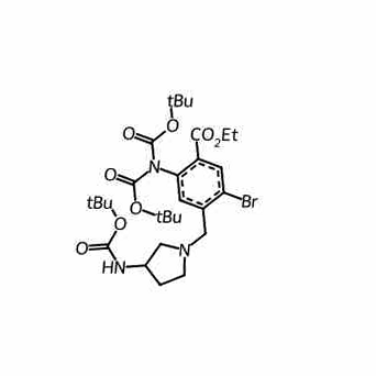 CCOC(=O)c1cc(Br)c(CN2CCC(NC(=O)OC(C)(C)C)C2)cc1N(C(=O)OC(C)(C)C)C(=O)OC(C)(C)C